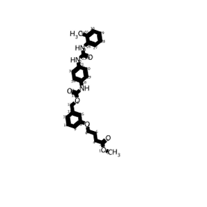 COC(=O)CCCOc1cccc(COC(=O)Nc2ccc(NC(=O)Nc3ccccc3C)cc2)c1